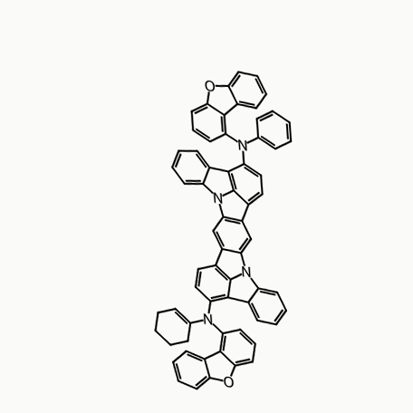 C1=C(N(c2cccc3oc4ccccc4c23)c2ccc3c4cc5c(cc4n4c6ccccc6c2c34)c2ccc(N(c3ccccc3)c3cccc4oc6ccccc6c34)c3c4ccccc4n5c23)CCCC1